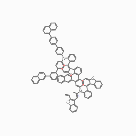 C=Cc1oc2ccccc2c1/C=C(\C)N(c1ccc(-c2cccc3c2sc2cccc(-c4ccccc4N(c4ccc(-c5ccc(-c6cccc7ccccc67)cc5)cc4)c4ccc(-c5cccc(-c6ccc7ccccc7c6)c5)cc4)c23)c(-c2ccc3ccccc3c2)c1)c1ccccc1-c1cccc2sc3ccccc3c12